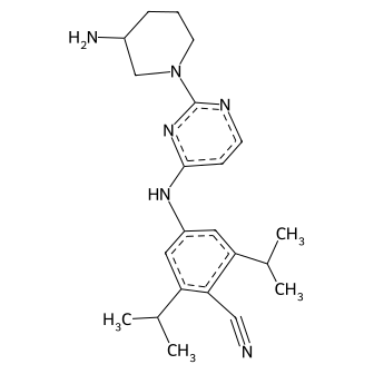 CC(C)c1cc(Nc2ccnc(N3CCCC(N)C3)n2)cc(C(C)C)c1C#N